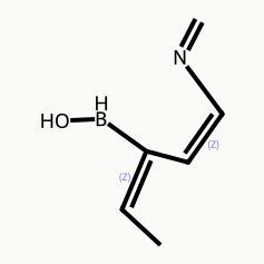 C=N/C=C\C(BO)=C/C